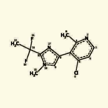 Cc1nccc(Cl)c1-c1cn(C)c(C(C)(F)F)n1